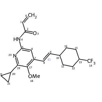 C=CC(=O)Nc1cc(/C=C/C2CCC(C(F)(F)F)CC2)c(OC)c(C2CC2)n1